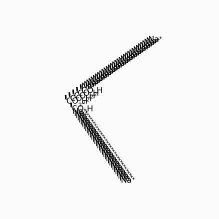 C=CC(=O)O.C=CC(=O)O.C=CC(=O)O.C=CC(=O)O.C=CC(=O)O.C=CC(=O)O.[Na+].[Na+].[Na+].[Na+].[Na+].[Na+].[Na+].[Na+].[Na+].[Na+].[Na+].[Na+].[Na+].[Na+].[Na+].[Na+].[Na+].[Na+].[Na+].[Na+].[Na+].[Na+].[Na+].[Na+].[Na+].[Na+].[Na+].[Na+].[Na+].[Na+].[Na+].[Na+].[Na+].[Na+].[Na+].[Na+].[Na+].[Na+].[Na+].[Na+].[Na+].[Na+].[Na+].[Na+].[Na+].[Na+].[Na+].[Na+].[Na+].[Na+].[Na+].[Na+].[Na+].[Na+].[Na+].[Na+].[Na+].[Na+].[Na+].[Na+].[Na+].[Na+].[Na+].[Na+].[Na+]